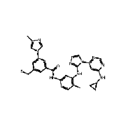 Cc1cn(-c2cc(CF)cc(C(=O)Nc3ccc(C)c(Nc4nccn4-c4cc(NC5CC5)ncn4)c3)c2)cn1